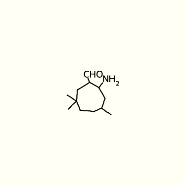 CC1CCC(C)(C)CC(C=O)C(N)C1